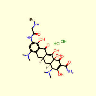 CN(C)c1cc(NC(=O)CNC(C)(C)C)c(O)c2c1C[C@H]1C[C@@H]3[C@H](N(C)C)C(O)=C(C(N)=O)C(=O)[C@@]3(O)C(O)=C1C2=O.Cl.Cl